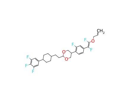 C=CCO/C(F)=C(\F)c1ccc(C2COC(CCC3CCC(c4cc(F)c(F)c(F)c4)CC3)OC2)c(F)c1